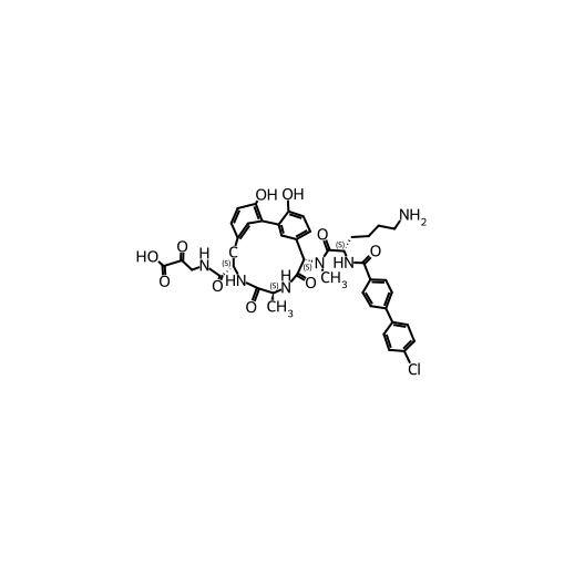 C[C@@H]1NC(=O)[C@@H](N(C)C(=O)[C@H](CCCCN)NC(=O)c2ccc(-c3ccc(Cl)cc3)cc2)c2ccc(O)c(c2)-c2cc(ccc2O)C[C@@H](C(=O)NCC(=O)C(=O)O)NC1=O